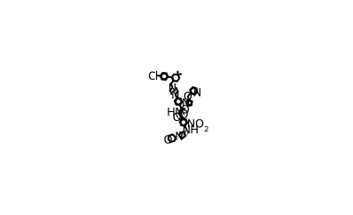 CC1(C)CCC(CN2CCN(c3ccc(C(=O)NS(=O)(=O)c4ccc(N[C@@H]5CCN(C6CCOCC6)C5)c([N+](=O)[O-])c4)c(-n4cccc4Oc4cccnc4)c3)CC2)=C(c2ccc(Cl)cc2)C1